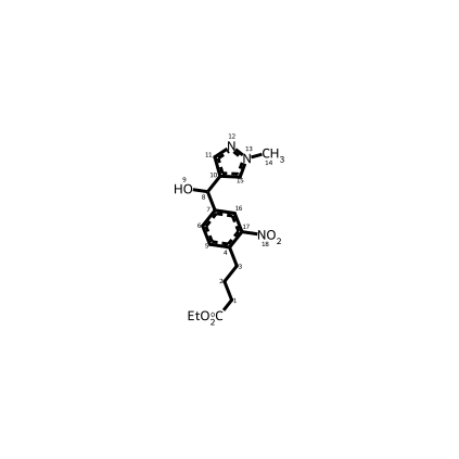 CCOC(=O)CCCc1ccc(C(O)c2cnn(C)c2)cc1[N+](=O)[O-]